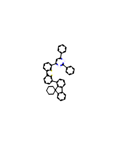 c1ccc(-c2cc(-c3cccc4c3sc3c(-c5cccc6c5C5(CCCCC5)c5ccccc5-6)cccc34)nc(-c3ccccc3)n2)cc1